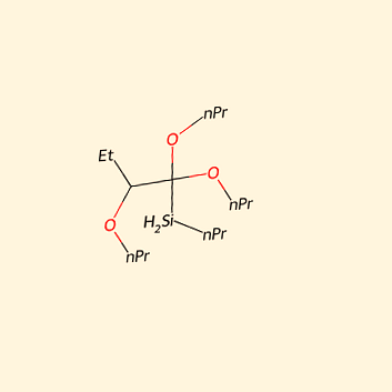 CCCOC(CC)C(OCCC)(OCCC)[SiH2]CCC